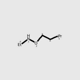 CCNOCCC(C)C